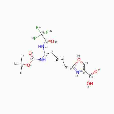 CC(C)(C)OC(=O)NC(CCCCc1nc(C(=O)O)co1)NC(=O)C(F)(F)F